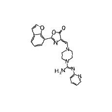 NC(=Nc1ccccn1)N1CCN(C=C2N=C(c3cccc4ccoc34)OC2=O)CC1